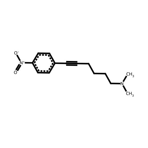 CN(C)CCCCC#Cc1ccc([N+](=O)[O-])cc1